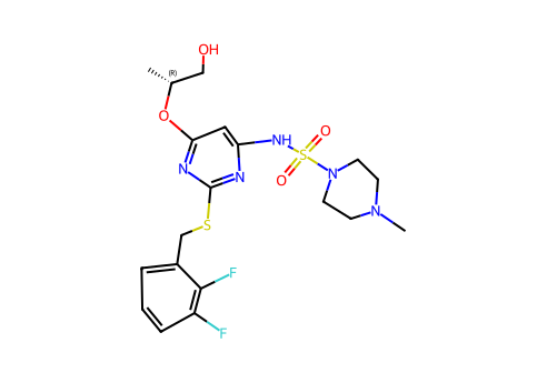 C[C@H](CO)Oc1cc(NS(=O)(=O)N2CCN(C)CC2)nc(SCc2cccc(F)c2F)n1